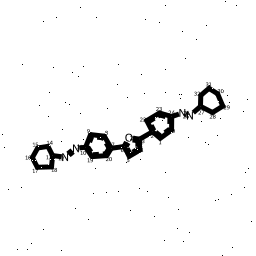 c1cc(-c2ccc(-c3ccc(/N=N/C4CCCCC4)cc3)o2)ccc1/N=N/C1CCCCC1